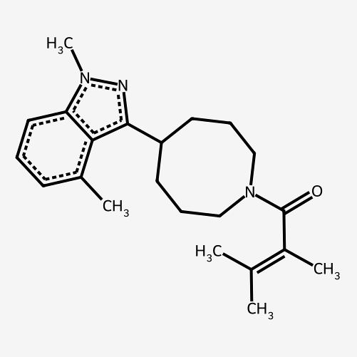 CC(C)=C(C)C(=O)N1CCCC(c2nn(C)c3cccc(C)c23)CCC1